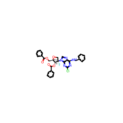 O=C(OC[C@H]1OC[C@@](F)(n2cnc3c(NCc4ccccc4)nc(Cl)nc32)[C@@H]1OC(=O)c1ccccc1)c1ccccc1